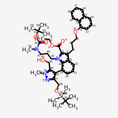 CCOC(=O)c1c(CCCOc2cccc3ccccc23)c2cccc(-c3c(CO[Si](C)(C)C(C)(C)C)nn(C)c3CO)c2n1CCCN(C)C(=O)OC(C)(C)C